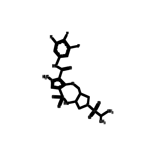 CC(C)S(=O)(=O)N1CC2COc3c(cn(C)c3C(=O)Nc3cc(F)c(F)c(F)c3)S(=O)(=O)NC2C1